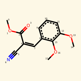 COC(=O)C(C#N)=Cc1cccc(OC)c1OC